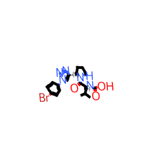 CC(C)[C@H](NC(=O)O)C(=O)N1CCC[C@H]1c1cn(-c2ccc(Br)cc2)nn1